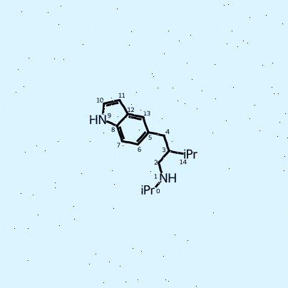 CC(C)NCC(Cc1ccc2[nH]ccc2c1)C(C)C